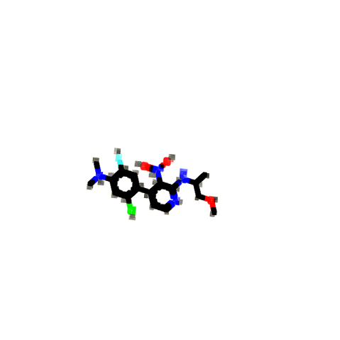 COCC(C)Nc1nccc(-c2cc(F)c(N(C)C)cc2Cl)c1[N+](=O)[O-]